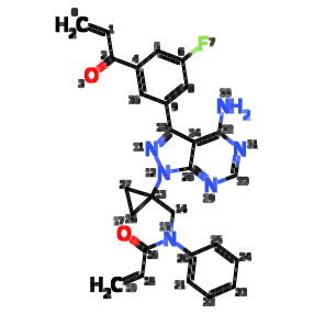 C=CC(=O)c1cc(F)cc(-c2nn(C3(CN(C(=O)C=C)c4ccccc4)CC3)c3ncnc(N)c23)c1